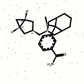 COC1(c2cccc(C(N)=O)c2)C2CCCC1CN(C[C@H]1C[C@@H]3C[C@@H]3C1)C2